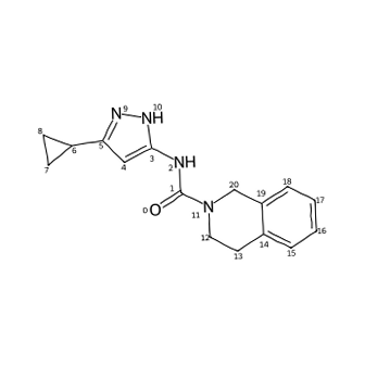 O=C(Nc1cc(C2CC2)n[nH]1)N1CCc2ccccc2C1